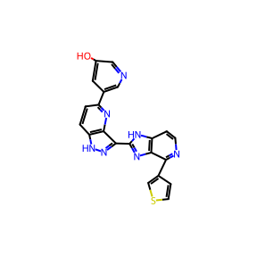 Oc1cncc(-c2ccc3[nH]nc(-c4nc5c(-c6ccsc6)nccc5[nH]4)c3n2)c1